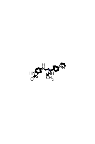 C=NN/C(=C\CNc1ccc2[nH]c(=O)sc2c1)c1ccc(-n2cccn2)cc1